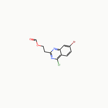 O=COCCc1nc(Cl)c2ccc(Br)cc2n1